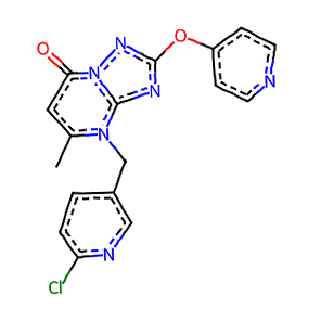 Cc1cc(=O)n2nc(Oc3ccncc3)nc2n1Cc1ccc(Cl)nc1